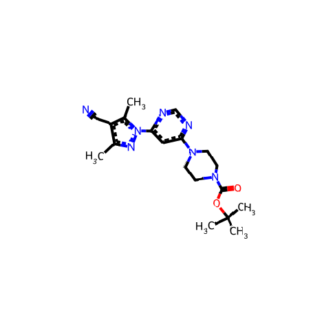 Cc1nn(-c2cc(N3CCN(C(=O)OC(C)(C)C)CC3)ncn2)c(C)c1C#N